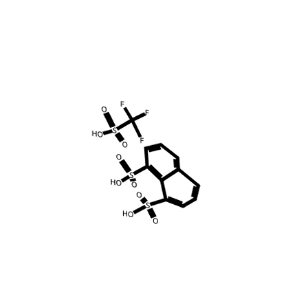 O=S(=O)(O)C(F)(F)F.O=S(=O)(O)c1cccc2cccc(S(=O)(=O)O)c12